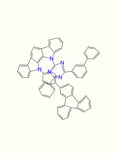 c1ccc(-c2cccc(-c3nc(-c4ccccc4)nc(-n4c5ccccc5c5ccc6c7ccccc7n(-c7ccc(-c8ccc9c%10ccccc%10c%10ccccc%10c9c8)cc7)c6c54)n3)c2)cc1